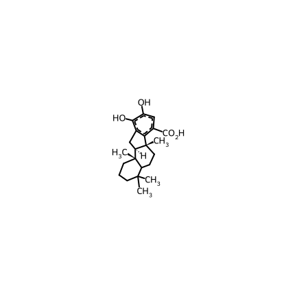 CC1(C)CCC[C@@]2(C)C1CC[C@@]1(C)c3c(C(=O)O)cc(O)c(O)c3C[C@@H]12